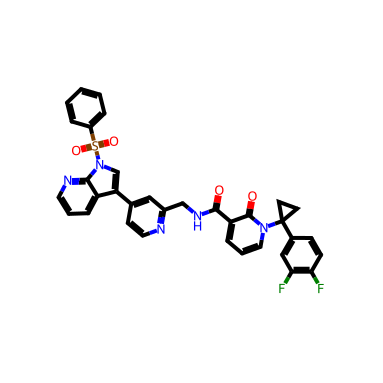 O=C(NCc1cc(-c2cn(S(=O)(=O)c3ccccc3)c3ncccc23)ccn1)c1cccn(C2(c3ccc(F)c(F)c3)CC2)c1=O